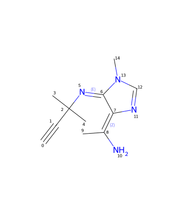 C#CC(C)(C)/N=C1\C(=C(/C)N)N=CN1C